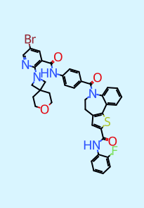 O=C(Nc1ccccc1F)c1cc2c(s1)-c1ccccc1N(C(=O)c1ccc(NC(=O)c3cc(Br)cnc3N3CC4(CCOCC4)C3)cc1)CC2